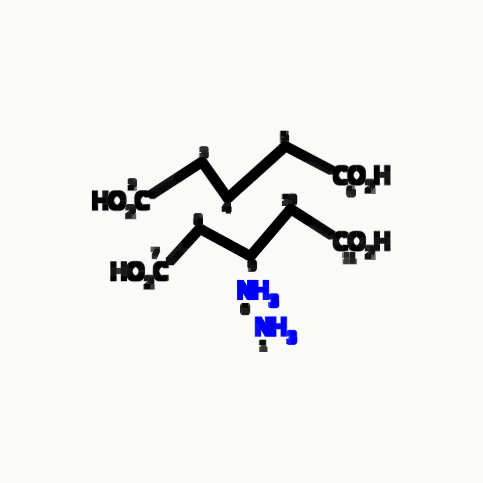 N.N.O=C(O)CCCC(=O)O.O=C(O)CCCC(=O)O